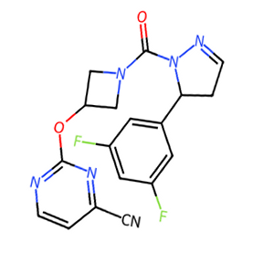 N#Cc1ccnc(OC2CN(C(=O)N3N=CCC3c3cc(F)cc(F)c3)C2)n1